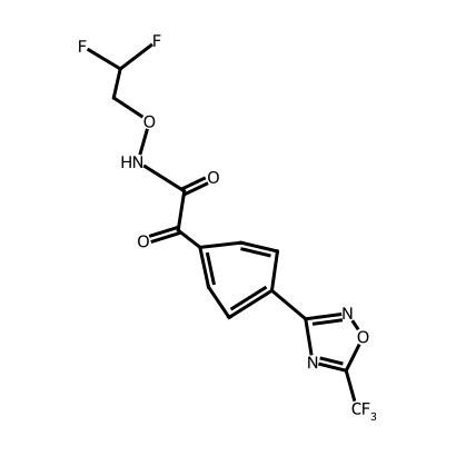 O=C(NOCC(F)F)C(=O)c1ccc(-c2noc(C(F)(F)F)n2)cc1